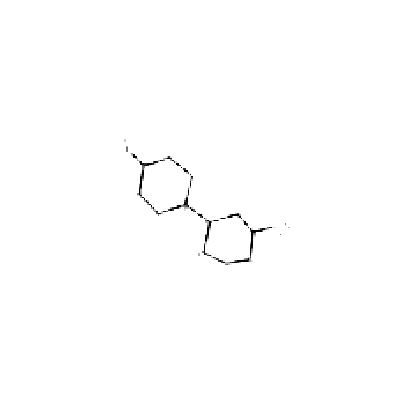 CCC1CCC(C2CCCC(C#N)C2)CC1